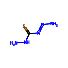 NN=NC(=S)NN